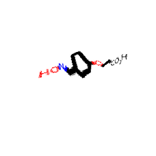 O=C(O)CCOc1ccc(C=NO)cc1